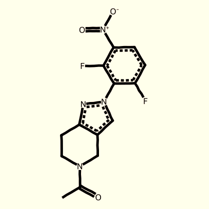 CC(=O)N1CCc2nn(-c3c(F)ccc([N+](=O)[O-])c3F)cc2C1